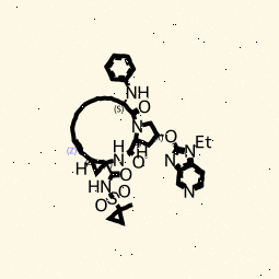 CCn1c(O[C@@H]2C[C@H]3C(=O)N[C@]4(C(=O)NS(=O)(=O)C5(C)CC5)C[C@H]4/C=C\CCCCC[C@H](Nc4ccccc4)C(=O)N3C2)nc2cnccc21